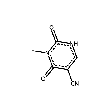 Cn1c(=O)[nH]cc(C#N)c1=O